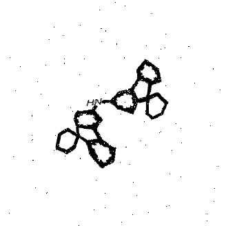 c1ccc2c(c1)-c1cc(Nc3ccc4c(c3)-c3ccccc3C43CCCCC3)ccc1C21CCCCC1